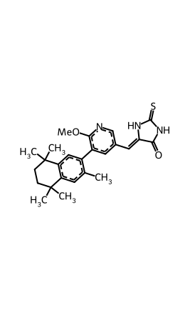 COc1ncc(/C=C2\NC(=S)NC2=O)cc1-c1cc2c(cc1C)C(C)(C)CCC2(C)C